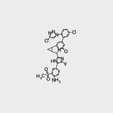 CS(=O)(=O)c1cc(-c2[nH]c(C3C4CC4c4cc(-c5cc(Cl)ccc5-n5cc(Cl)nn5)cc(=O)n43)nc2F)ccc1N